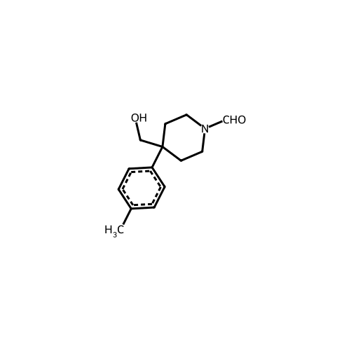 Cc1ccc(C2(CO)CCN(C=O)CC2)cc1